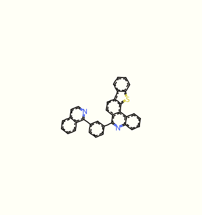 c1cc(-c2nccc3ccccc23)cc(-c2nc3ccccc3c3c2ccc2c4ccccc4sc23)c1